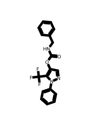 O=C(NCc1ccccc1)Oc1cnn(-c2ccccc2)c1C(F)(F)F